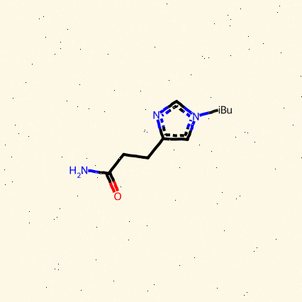 CCC(C)n1cnc(CCC(N)=O)c1